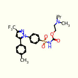 Cc1ccc(-c2cc(C(F)(F)F)nn2-c2ccc(S(=O)(=O)NC(=O)OCCN(C)C(C)C)cc2)cc1